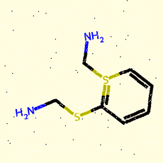 NCSC1=S(CN)C=CC=C1